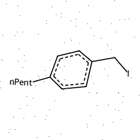 CCCCCc1ccc(CI)cc1